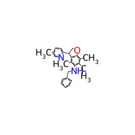 Cc1ccc(C2COc3c(C)c(C)c(NCc4ccccc4)c(C)c32)nc1